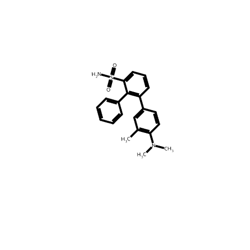 Cc1cc(-c2cccc(S(N)(=O)=O)c2-c2ccccc2)ccc1N(C)C